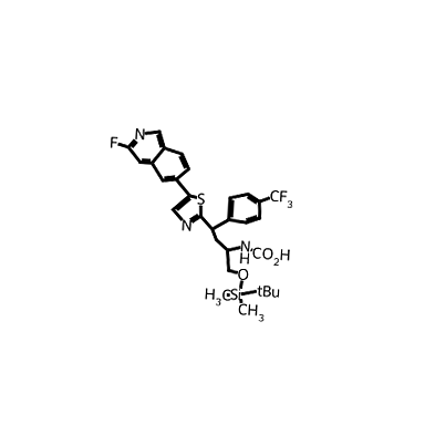 CC(C)(C)[Si](C)(C)OCC(CC(c1ccc(C(F)(F)F)cc1)c1ncc(-c2ccc3cnc(F)cc3c2)s1)NC(=O)O